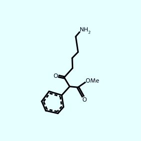 COC(=O)C(C(=O)CCCCN)c1ccccc1